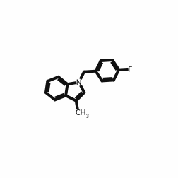 Cc1cn(Cc2ccc(F)cc2)c2ccccc12